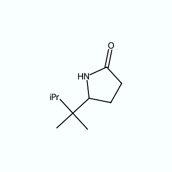 CC(C)C(C)(C)C1CCC(=O)N1